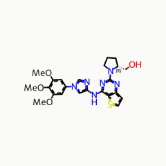 COc1cc(-n2cnc(Nc3nc(N4CCC[C@@H]4CO)nc4ccsc34)c2)cc(OC)c1OC